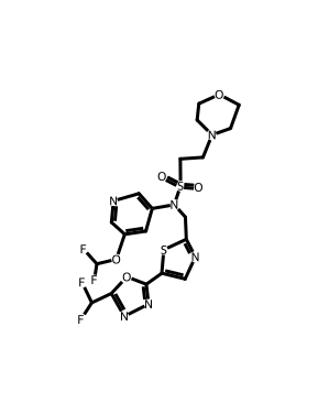 O=S(=O)(CCN1CCOCC1)N(Cc1ncc(-c2nnc(C(F)F)o2)s1)c1cncc(OC(F)F)c1